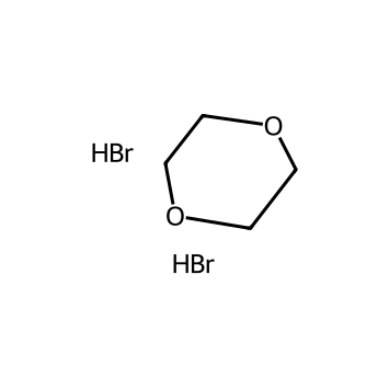 Br.Br.C1COCCO1